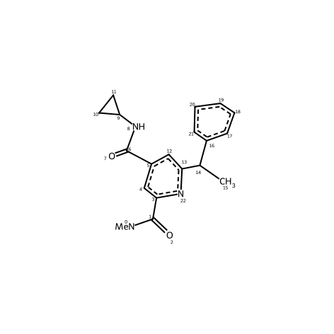 CNC(=O)c1cc(C(=O)NC2CC2)cc(C(C)c2ccccc2)n1